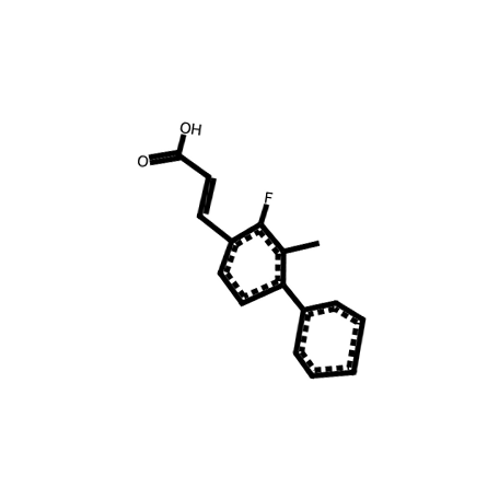 Cc1c(-c2ccccc2)ccc(C=CC(=O)O)c1F